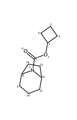 O=C(OC1CCC1)N1C2C[CH]CC1CC2